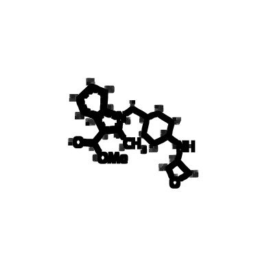 COC(=O)c1c(C)n(CC2CCC(NC3COC3)CC2)c2ccccc12